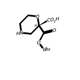 CC(C)(C)OC(=O)[C@]1(C(=O)O)CNCCO1